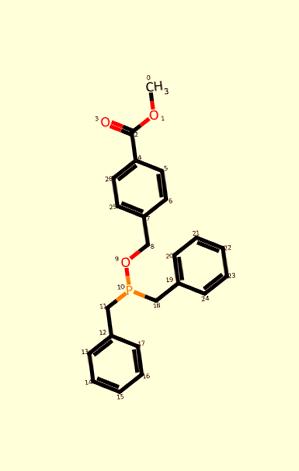 COC(=O)c1ccc(COP(Cc2ccccc2)Cc2ccccc2)cc1